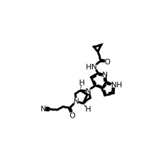 N#CCCC(=O)N1C[C@@H]2C[C@H]1CN2c1cc(NC(=O)C2CC2)nc2[nH]ccc12